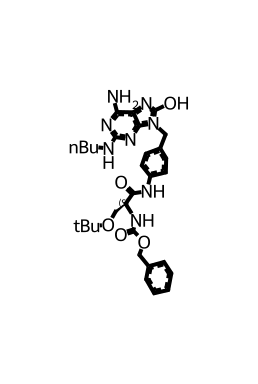 CCCCNc1nc(N)c2nc(O)n(Cc3ccc(NC(=O)[C@H](COC(C)(C)C)NC(=O)OCc4ccccc4)cc3)c2n1